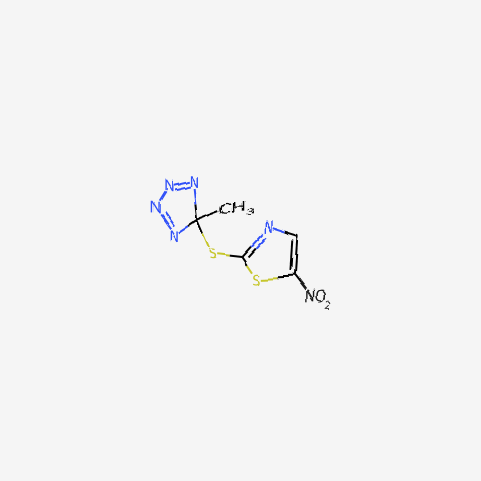 CC1(Sc2ncc([N+](=O)[O-])s2)N=NN=N1